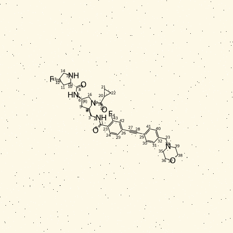 O=C(NC[C@H]1C[C@@H](NC(=O)[C@@H]2C[C@H](F)CN2)CN1C(=O)C1CC1)c1ccc(C#Cc2ccc(CN3CCOCC3)cc2)cc1F